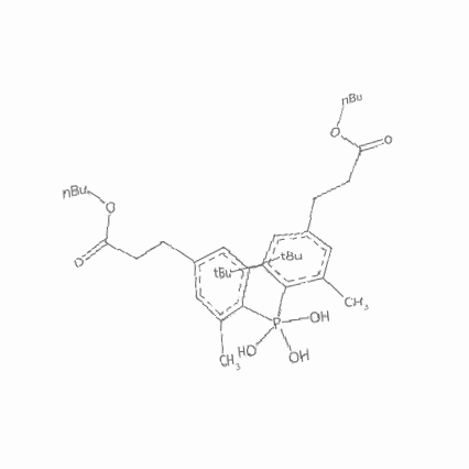 CCCCOC(=O)CCc1cc(C)c(P(O)(O)(O)c2c(C)cc(CCC(=O)OCCCC)cc2C(C)(C)C)c(C(C)(C)C)c1